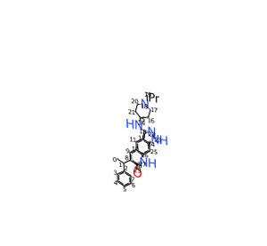 CC(c1ccccc1)c1cc2cc3c(NC4CCN(C(C)C)CC4)n[nH]c3cc2[nH]c1=O